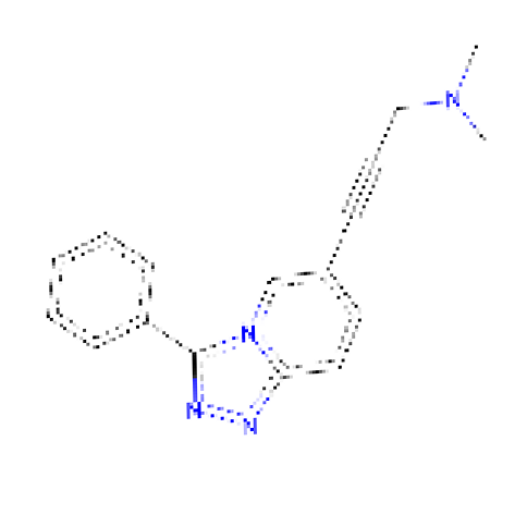 CN(C)CC#Cc1ccc2nnc(-c3ccccc3)n2c1